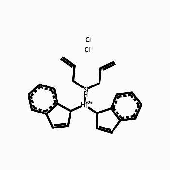 C=CC[SiH](CC=C)[Hf+2]([CH]1C=Cc2ccccc21)[CH]1C=Cc2ccccc21.[Cl-].[Cl-]